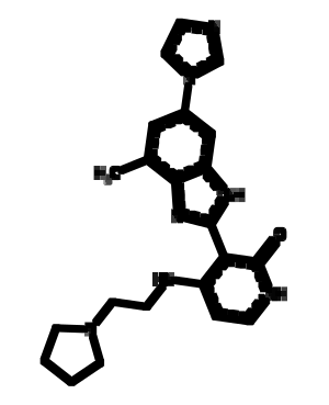 Cc1cc(-n2ccnc2)cc2[nH]c(-c3c(NCCN4CCCC4)cc[nH]c3=O)nc12